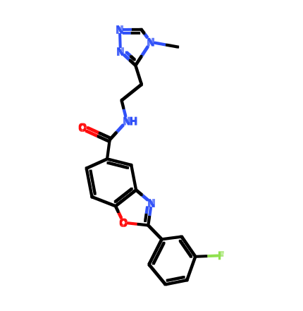 Cn1cnnc1CCNC(=O)c1ccc2oc(-c3cccc(F)c3)nc2c1